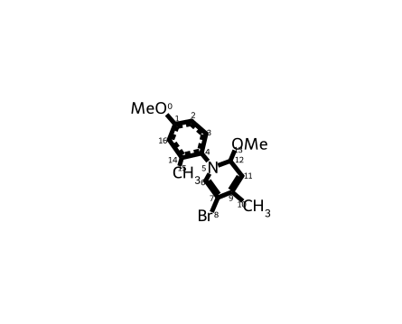 COc1ccc(N2C=C(Br)C(C)=CC2OC)c(C)c1